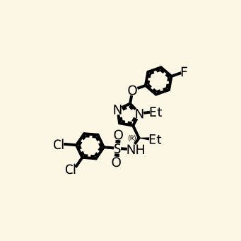 CC[C@@H](NS(=O)(=O)c1ccc(Cl)c(Cl)c1)c1cnc(Oc2ccc(F)cc2)n1CC